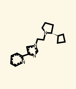 c1ccc(-c2cn(CCN3CCC[C@@H]3C3CCC3)cn2)nc1